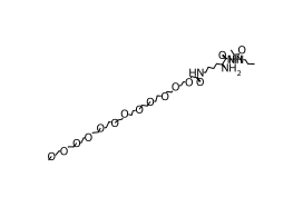 CCCNC(=O)C(C)NC(=O)C(N)CCCCNC(=O)COCCOCCOCCOCCOCCOCCOCCOCCOCCOCCOCCOC